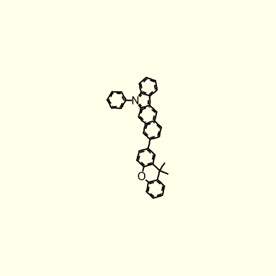 CC1(C)c2ccccc2Oc2ccc(-c3ccc4cc5c6ccccc6n(-c6ccccc6)c5cc4c3)cc21